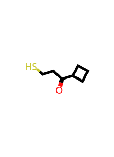 O=C(CCS)C1CCC1